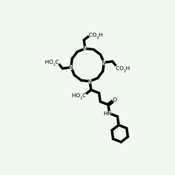 O=C(O)CN1CCN(CC(=O)O)CCN(C(CCC(=O)NCC2CCCCC2)C(=O)O)CCN(CC(=O)O)CC1